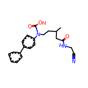 CC(CCN(C(=O)O)c1ccc(-c2ccccc2)cc1)CC(=O)NCC#N